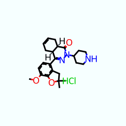 COc1ccc(C2=NN(C3CCNCC3)C(=O)[C@@H]3CC=CC[C@H]23)c2c1OC(C)(C)C2.Cl